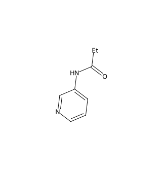 CCC(=O)Nc1cccnc1